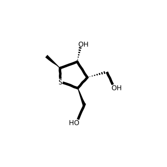 C[C@@H]1S[C@H](CO)[C@@H](CO)[C@H]1O